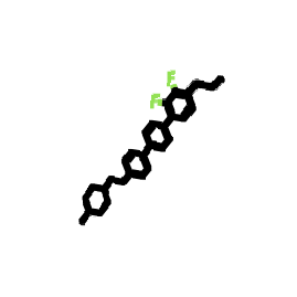 CCCc1ccc(-c2ccc(-c3ccc(CCC4CCC(C)CC4)cc3)cc2)c(F)c1F